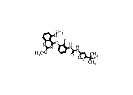 COc1nc(Oc2cccc(NC(=O)Nc3cc(C(C)(C)F)no3)c2F)c2c(OC)cccc2n1